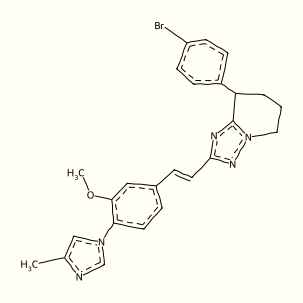 COc1cc(C=Cc2nc3n(n2)CCCC3c2ccc(Br)cc2)ccc1-n1cnc(C)c1